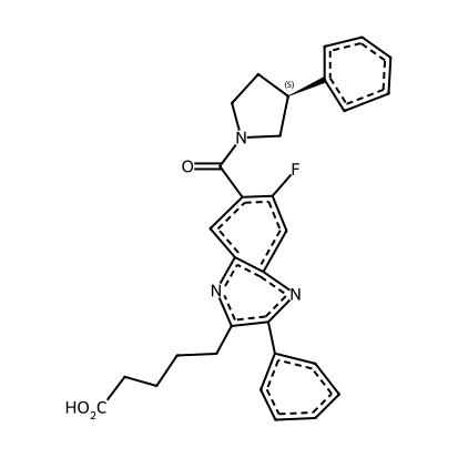 O=C(O)CCCCc1nc2cc(C(=O)N3CC[C@@H](c4ccccc4)C3)c(F)cc2nc1-c1ccccc1